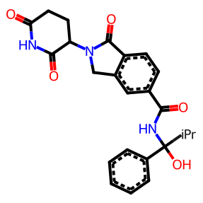 CC(C)C(O)(NC(=O)c1ccc2c(c1)CN(C1CCC(=O)NC1=O)C2=O)c1ccccc1